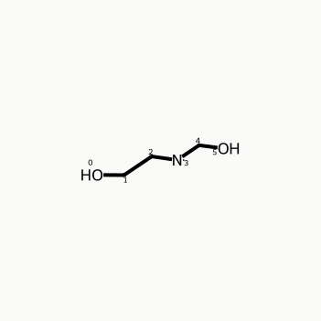 OCC[N]CO